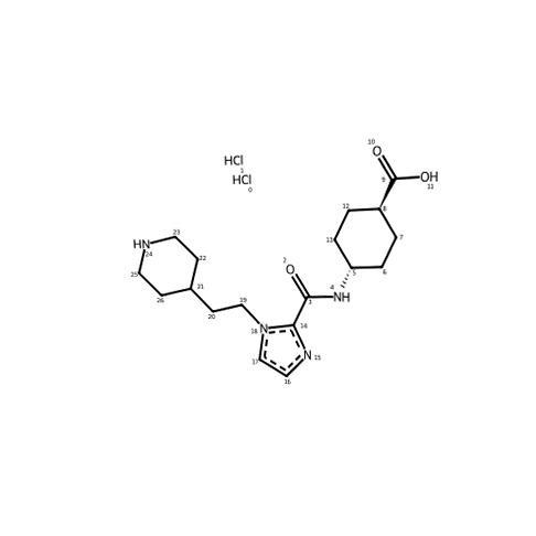 Cl.Cl.O=C(N[C@H]1CC[C@H](C(=O)O)CC1)c1nccn1CCC1CCNCC1